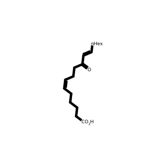 CCCCCC/C=C/C(=O)CC/C=C\CCCCC(=O)O